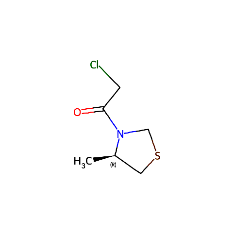 C[C@@H]1CSCN1C(=O)CCl